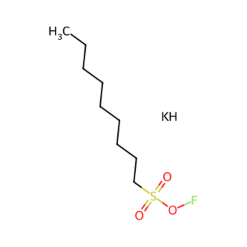 CCCCCCCCCS(=O)(=O)OF.[KH]